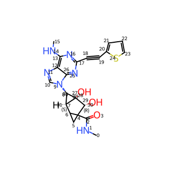 CNC(=O)C12CC1[C@H]1[C@@H](n3cnc4c(NC)nc(C#Cc5cccs5)nc43)[C@@]1(O)[C@@H]2O